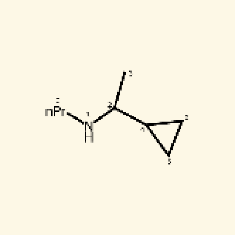 CCCN[C](C)C1CC1